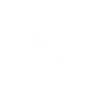 CC(=CCCNC(=O)OC(C)(C)C)C(N)=O